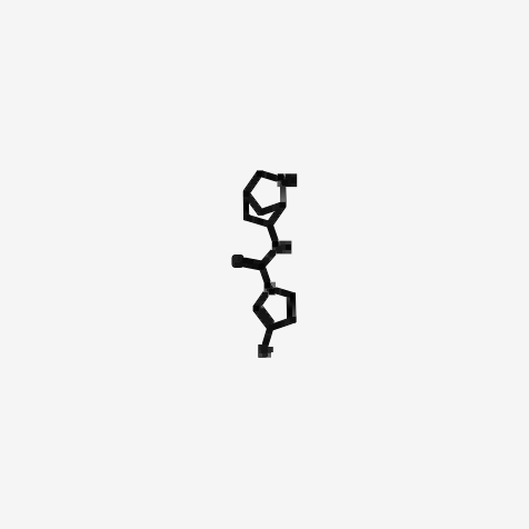 O=C(NC1CC2CNC1C2)n1ccc(Br)c1